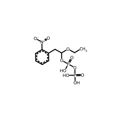 CCOC(Cc1ccccc1[N+](=O)[O-])OP(=O)(O)OP(=O)(O)O